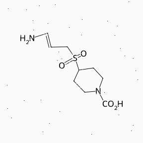 NC=CCS(=O)(=O)C1CCN(C(=O)O)CC1